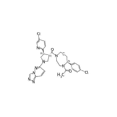 CC(=O)N1CCN(C(=O)[C@@H]2CN(c3ccc4nncn4n3)C[C@H]2c2ccc(Cl)cn2)CCC[C@H]1c1ccc(Cl)cc1